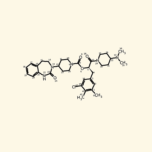 Cc1cc(C[C@@H](OC(=O)N2CCC(N3CCc4ccccc4NC3=O)CC2)C(=O)N2CCC(N(C)C)CC2)cc(Cl)c1C